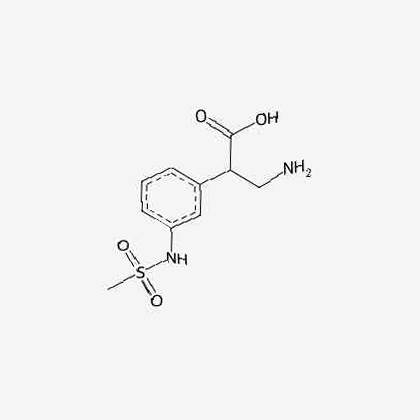 CS(=O)(=O)Nc1cccc(C(CN)C(=O)O)c1